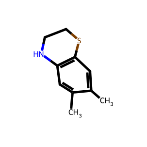 Cc1cc2c(cc1C)SCCN2